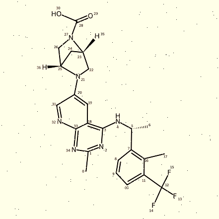 Cc1nc(N[C@H](C)c2cccc(C(F)(F)F)c2C)c2cc(N3C[C@@H]4C[C@H]3CN4C(=O)O)cnc2n1